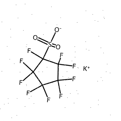 O=S(=O)([O-])C1(F)C(F)(F)C(F)(F)C(F)(F)C1(F)F.[K+]